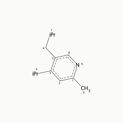 Cc1cc(C(C)C)c(CC(C)C)cn1